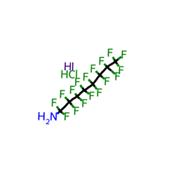 Cl.I.NC(F)(F)C(F)(F)C(F)(F)C(F)(F)C(F)(F)C(F)(F)C(F)(F)C(F)(F)F